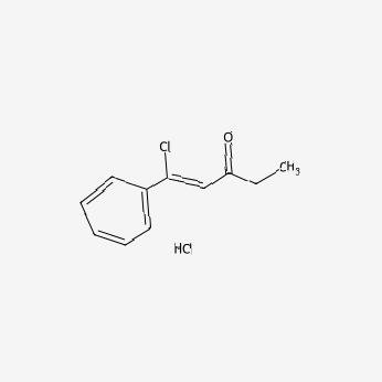 CCC(=O)C=C(Cl)c1ccccc1.Cl